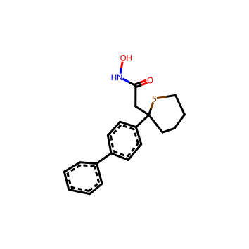 O=C(CC1(c2ccc(-c3ccccc3)cc2)CCCCS1)NO